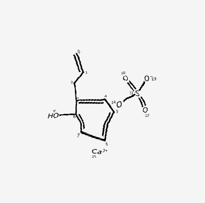 C=CCc1ccccc1O.O=S(=O)([O-])[O-].[Ca+2]